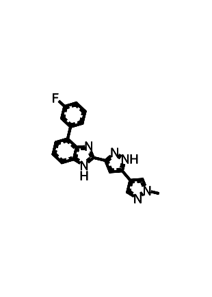 Cn1cc(-c2cc(-c3nc4c(-c5cccc(F)c5)cccc4[nH]3)n[nH]2)cn1